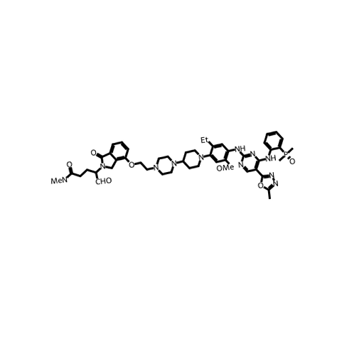 CCc1cc(Nc2ncc(-c3nnc(C)o3)c(Nc3ccccc3P(C)(C)=O)n2)c(OC)cc1N1CCC(N2CCN(CCOc3cccc4c3CN(C(C=O)CCC(=O)NC)C4=O)CC2)CC1